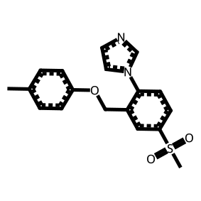 Cc1ccc(OCc2cc(S(C)(=O)=O)ccc2-n2ccnc2)cc1